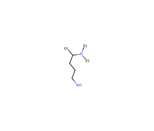 [CH2]CC(CCC[NH])N(CC)CC